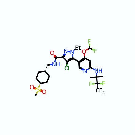 CCn1nc(C(=O)NC[C@H]2CC[C@H](S(C)(=O)=O)CC2)c(Cl)c1-c1cnc(NC(C)(C)C(F)(F)C(F)(F)F)cc1OC(F)F